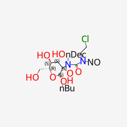 CCCCCCCCCCN(C(=O)N(CCCl)N=O)[C@@]1(O)[C@@H](OCCCC)O[C@H](CO)[C@@H](O)[C@@H]1O